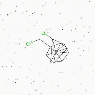 ClC[C]12[CH]3[CH]4[CH]5[CH]1[Fe]45321678[CH]2[CH]1[CH]6[C]7(Cl)[CH]28